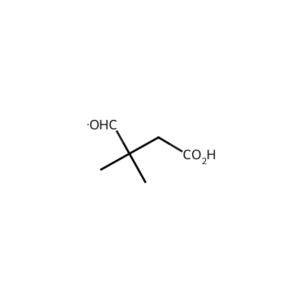 CC(C)([C]=O)CC(=O)O